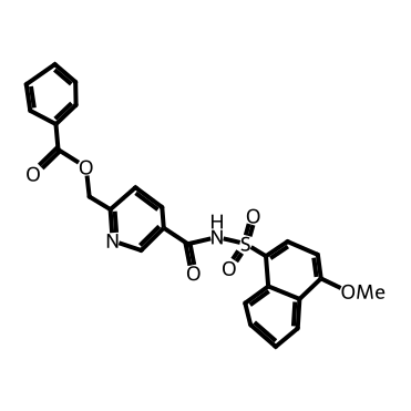 COc1ccc(S(=O)(=O)NC(=O)c2ccc(COC(=O)c3ccccc3)nc2)c2ccccc12